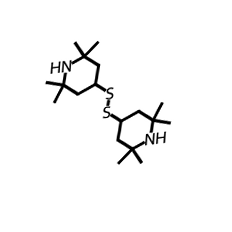 CC1(C)CC(SSC2CC(C)(C)NC(C)(C)C2)CC(C)(C)N1